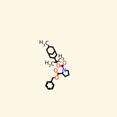 CC1CC2CC(C1)CC(C(C)(C)OC(=O)N1CCCC1C(=O)OCc1ccccc1)C2